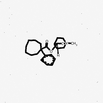 C[N+]12CCC(CC1)[C@@H](OC(=O)C1(c3ccccc3)CCCCCCC1)C2